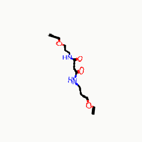 C=COCCCNC(=O)CC(=O)NCCCOC=C